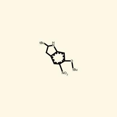 CC(C)(C)Oc1cc2c(cc1[N+](=O)[O-])CC(C(C)(C)C)N2